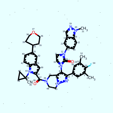 Cc1cc(-c2nn3c(c2-n2ccn(-c4ccc5c(cnn5C)c4)c2=O)CN(C(=O)c2cc4cc(C5CCOCC5)ccc4n2C2(C#N)CC2)CC3)cc(C)c1F